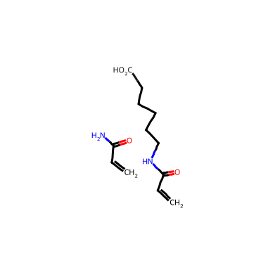 C=CC(=O)NCCCCCC(=O)O.C=CC(N)=O